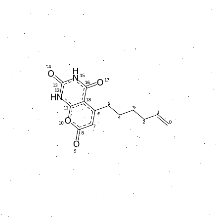 C=CCCCCc1cc(=O)oc2[nH]c(=O)[nH]c(=O)c12